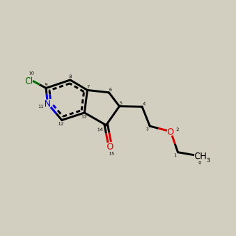 CCOCCC1Cc2cc(Cl)ncc2C1=O